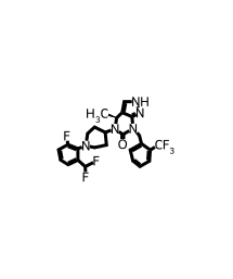 C[C@H]1c2c[nH]nc2N(Cc2ccccc2C(F)(F)F)C(=O)N1C1CCN(c2c(F)cccc2C(F)F)CC1